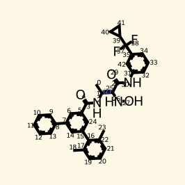 C/C(NC(=O)c1cc(-c2ccccc2)cc(-c2c(C)cccc2C)c1)=C(/NO)C(=O)Nc1cccc(C(F)(F)C2CC2)c1